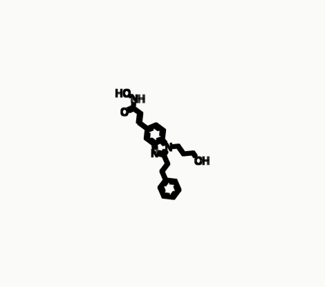 O=C(C=Cc1ccc2c(c1)nc(CCc1ccccc1)n2CCCO)NO